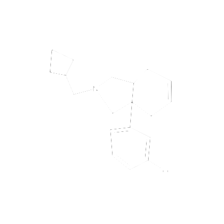 Oc1cccc(C23CC=CCC2CN(CC2CCC2)C3)c1